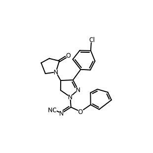 N#CN=C(Oc1ccccc1)N1CC(N2CCCC2=O)C(c2ccc(Cl)cc2)=N1